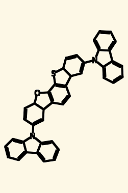 C1=CC2Oc3c(ccc4c3SC3C=CC(n5c6ccccc6c6ccccc65)=CC43)C2C=C1n1c2ccccc2c2ccccc21